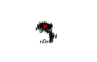 C=C(NC(=O)Nc1ccc(Cc2ccc(NC(=O)NCCCOCCCCCCCCCC)cc2)cc1)C(O)(CO)C(O)(CO)C(O)(CO)C(O)(CO)C(O)(CO)C(O)(CO)C(O)(CO)C(O)(CO)C(O)(CO)C(O)(CO)C(C)(O)N=N